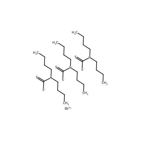 CCCCN(CCCC)C(=S)[S-].CCCCN(CCCC)C(=S)[S-].CCCCN(CCCC)C(=S)[S-].[Sb+3]